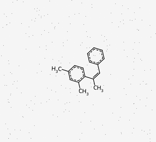 CC(=Cc1ccccc1)c1ccc(C)cc1C